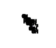 CN(C(=O)O)[C@@H](CC/C=C/C(=O)NCCO)C(=O)Nc1cccn(Cc2nc3ccccc3[nH]2)c1=O